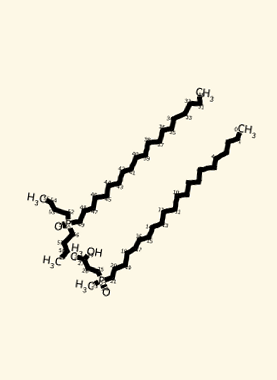 CCCCCCCCCCCCCCCCCCCCCCP(C)(=O)CCC(C)O.CCCCCCCCCCCCCCCCCCCCP(=O)(CCCC)CCCC